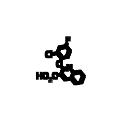 O=C(O)c1cc2ccccc2nc1Oc1ccc(F)cc1Cl